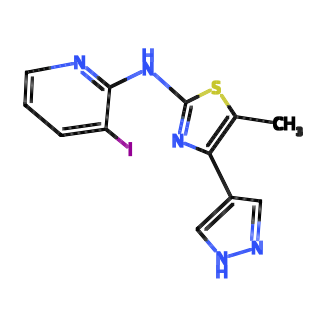 Cc1sc(Nc2ncccc2I)nc1-c1cn[nH]c1